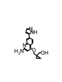 Nc1cc(OCC2(CO)CC2)c2ccc(-c3ccn[nH]3)cc2n1